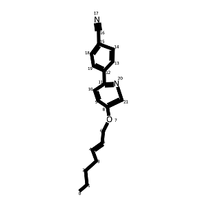 CCCC/C=C/COc1ccc(-c2ccc(C#N)cc2)nc1